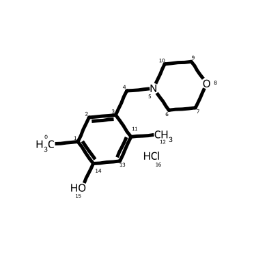 Cc1cc(CN2CCOCC2)c(C)cc1O.Cl